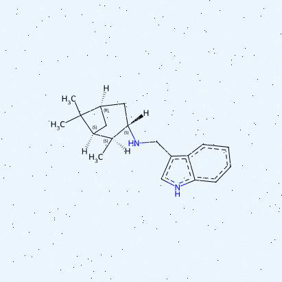 C[C@@H]1[C@@H](NCc2c[nH]c3ccccc23)C[C@H]2C[C@@H]1C2(C)C